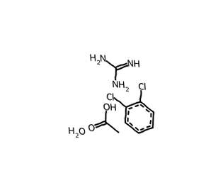 CC(=O)O.Clc1ccccc1Cl.N=C(N)N.O